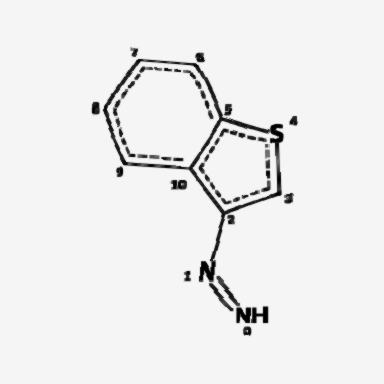 N=Nc1csc2ccccc12